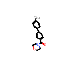 CC(C)(C)c1ccc(-c2ccc(C(=O)N3CCOCC3)cc2)cc1